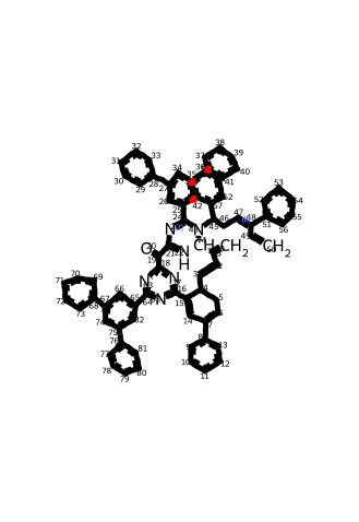 C=CC=CC1CC=C(c2ccccc2)C=C1c1nc(C(=O)C(=N)/N=C(/c2cc(-c3ccccc3)cc(-c3ccccc3)c2)N(C)C(C/C=C(\C=C)c2ccccc2)c2ccccc2)nc(-c2cc(-c3ccccc3)cc(-c3ccccc3)c2)n1